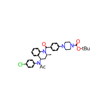 CC(=O)N(c1ccc(Cl)cc1)[C@@H]1C[C@H](C)N(C(=O)c2ccc(N3CCN(C(=O)OC(C)(C)C)CC3)cc2)c2ccccc21